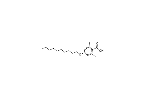 CCCCCCCCCCOc1cc(C)c(C(=O)O)c(C)c1